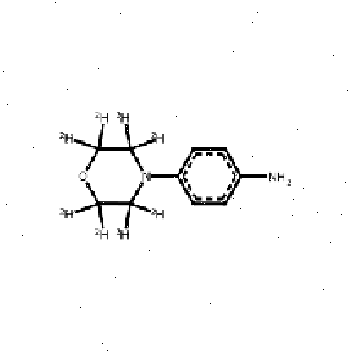 [2H]C1([2H])OC([2H])([2H])C([2H])([2H])N(c2ccc(N)cc2)C1([2H])[2H]